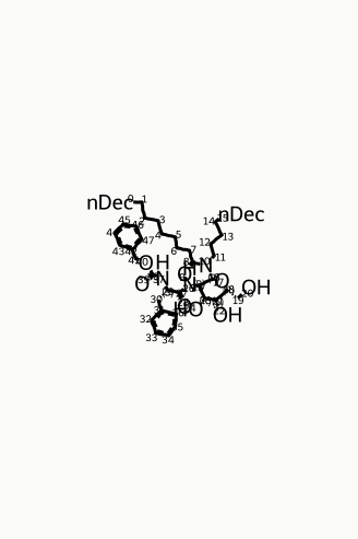 CCCCCCCCCCCCCCCCCC(=O)N(CCCCCCCCCCCCCC)[C@@H]1O[C@H](CO)[C@@H](O)[C@H](O)[C@H]1NC(=O)[C@H](Cc1ccccc1)NC(=O)OCc1ccccc1